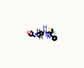 Fc1ccccc1-c1nnc(N[C@H]2C[C@@H]3CN(CC4CCOCC4)C[C@@H]3C2)c2sccc12